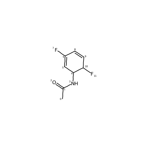 CC(=O)NC1C=C(F)C=CC1F